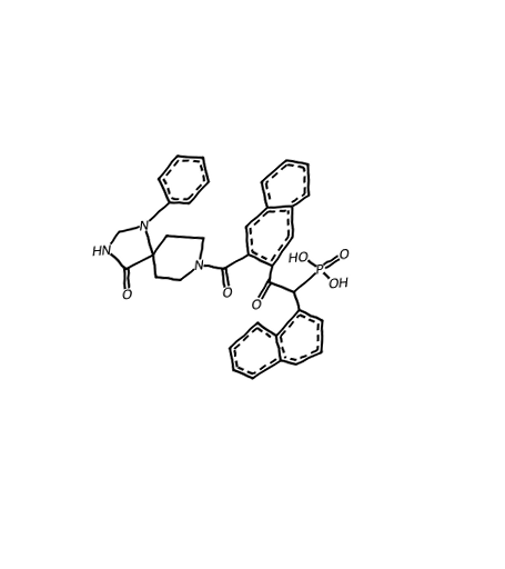 O=C(c1cc2ccccc2cc1C(=O)N1CCC2(CC1)C(=O)NCN2c1ccccc1)C(c1cccc2ccccc12)P(=O)(O)O